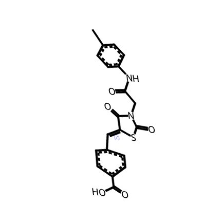 Cc1ccc(NC(=O)CN2C(=O)S/C(=C\c3ccc(C(=O)O)cc3)C2=O)cc1